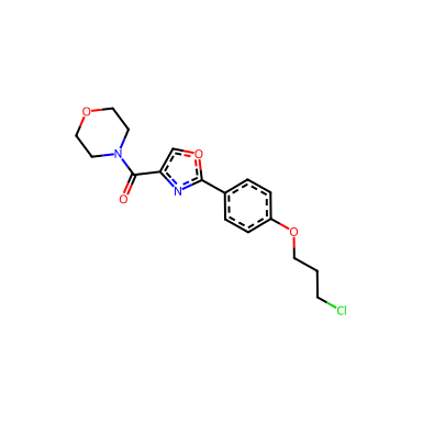 O=C(c1coc(-c2ccc(OCCCCl)cc2)n1)N1CCOCC1